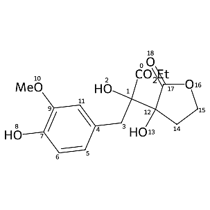 CCOC(=O)C(O)(Cc1ccc(O)c(OC)c1)C1(O)CCOC1=O